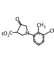 CCOC(=O)C1CN(c2cccc(C)c2C)CC1=O